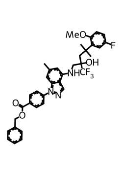 COc1ccc(F)cc1C(C)(C)CC(O)(CNc1cc(C)cc2c1cnn2-c1ccc(C(=O)OCc2ccccc2)cc1)C(F)(F)F